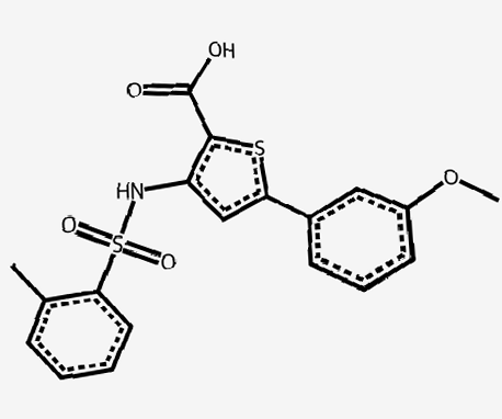 COc1cccc(-c2cc(NS(=O)(=O)c3ccccc3C)c(C(=O)O)s2)c1